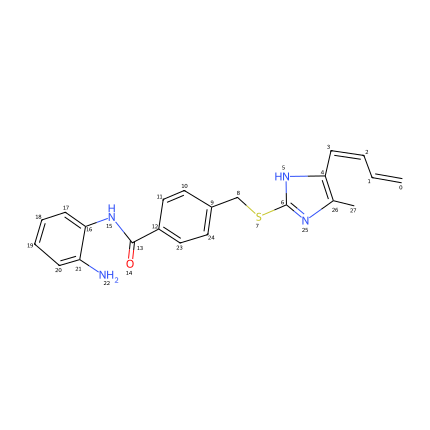 C=C/C=C\c1[nH]c(SCc2ccc(C(=O)Nc3ccccc3N)cc2)nc1C